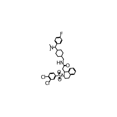 CN(C)C(c1ccc(F)cc1)C1CCC(CNC(=O)CC2c3ccccc3CCN2S(=O)(=O)c2ccc(Cl)c(Cl)c2)CC1